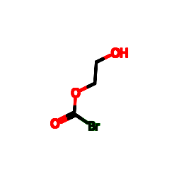 O=C(Br)OCCO